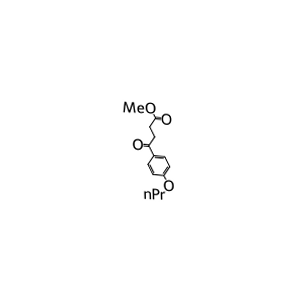 CCCOc1ccc(C(=O)CCC(=O)OC)cc1